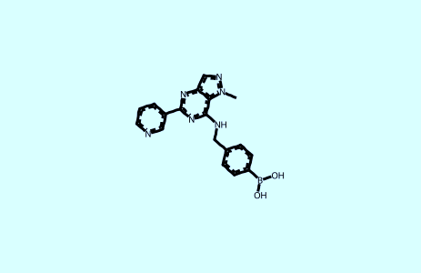 Cn1ncc2nc(-c3cccnc3)nc(NCc3ccc(B(O)O)cc3)c21